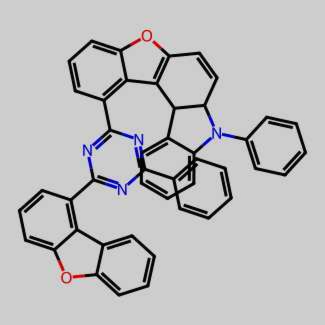 C1=CC2C(c3ccccc3N2c2ccccc2)c2c1oc1cccc(-c3nc(-c4ccccc4)nc(-c4cccc5oc6ccccc6c45)n3)c21